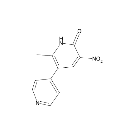 Cc1[nH]c(=O)c([N+](=O)[O-])cc1-c1ccncc1